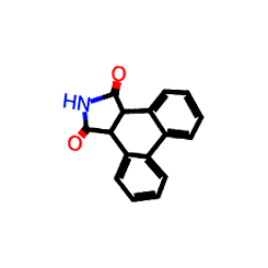 O=C1NC(=O)C2c3ccccc3-c3ccccc3C12